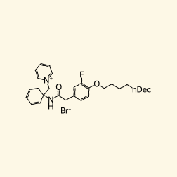 CCCCCCCCCCCCCCOc1ccc(CC(=O)NC2(C[n+]3ccccc3)C=CC=CC2)cc1F.[Br-]